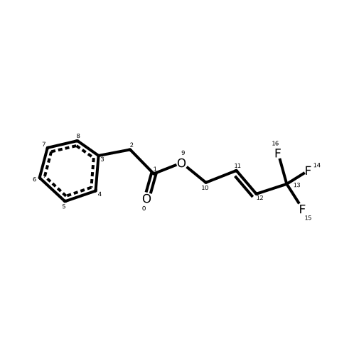 O=C(Cc1ccccc1)OCC=CC(F)(F)F